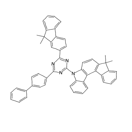 CC1(C)c2ccccc2-c2ccc(-c3nc(-c4ccc(-c5ccccc5)cc4)nc(-n4c5ccccc5c5c6c(ccc54)C(C)(C)c4ccccc4-6)n3)cc21